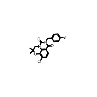 CC1(C)Cn2c(=O)n(Cc3ccc(Br)cc3)c(=O)c3ccc(Cl)c(c32)O1